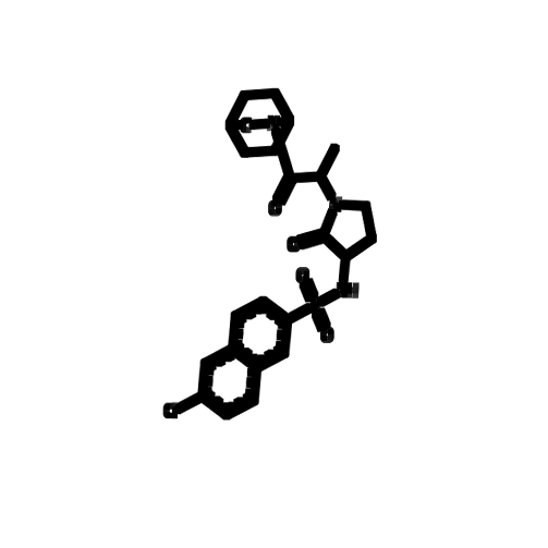 CC(C(=O)N1CC2CCC1CC2)N1CCC(NS(=O)(=O)c2ccc3cc(Cl)ccc3c2)C1=O